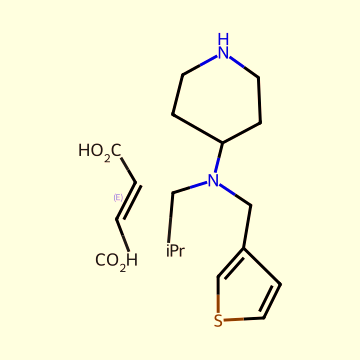 CC(C)CN(Cc1ccsc1)C1CCNCC1.O=C(O)/C=C/C(=O)O